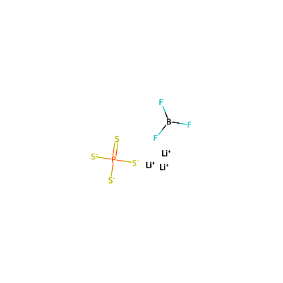 FB(F)F.S=P([S-])([S-])[S-].[Li+].[Li+].[Li+]